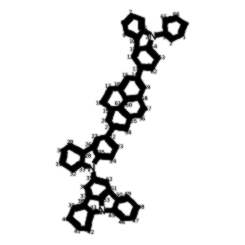 c1ccc(-n2c3ccccc3c3cc(-c4cc5ccc6cc(-c7ccc8c(c7)c7ccccc7n8-c7cc8c9ccccc9n9c%10ccccc%10c(c7)c89)cc7ccc(c4)c5c67)ccc32)cc1